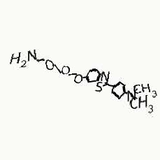 CN(C)c1ccc(-c2nc3ccc(OCCOCCOCCN)cc3s2)cc1